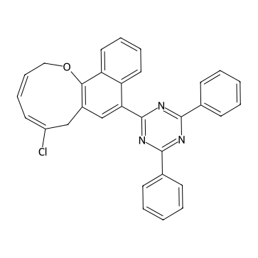 Cl/C1=C/C=C\COc2c(cc(-c3nc(-c4ccccc4)nc(-c4ccccc4)n3)c3ccccc23)C1